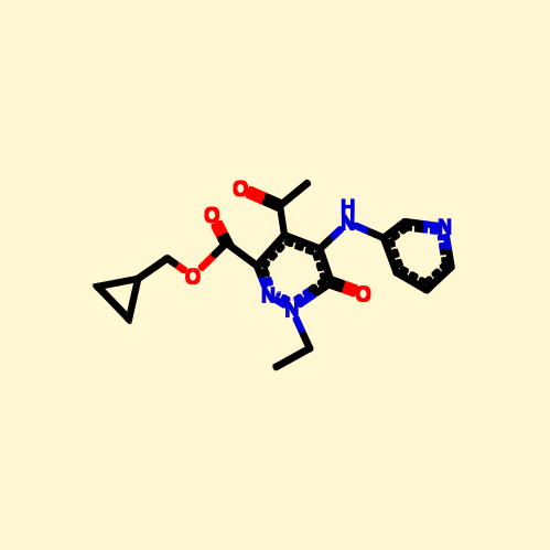 CCn1nc(C(=O)OCC2CC2)c(C(C)=O)c(Nc2cccnc2)c1=O